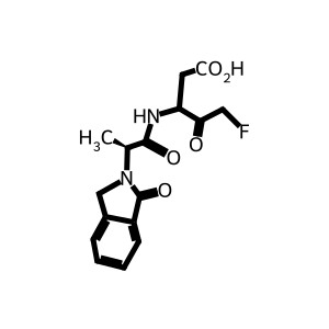 C[C@@H](C(=O)NC(CC(=O)O)C(=O)CF)N1Cc2ccccc2C1=O